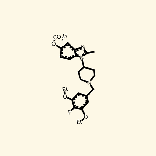 CCOc1cc(CN2CCC(n3c(C)nc4cc(OC(=O)O)ccc43)CC2)cc(OCC)c1F